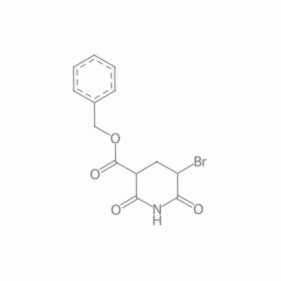 O=C1NC(=O)C(C(=O)OCc2ccccc2)CC1Br